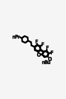 CCCCOc1cc2oc3cc(CCC4CCC(CCC)CC4)c(F)c(F)c3c2c(F)c1F